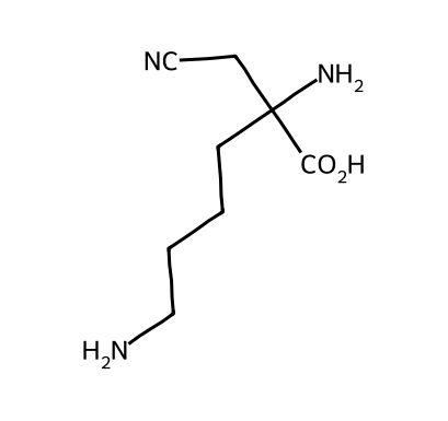 N#CCC(N)(CCCCN)C(=O)O